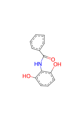 O=C(Nc1c(O)cccc1O)c1ccccc1